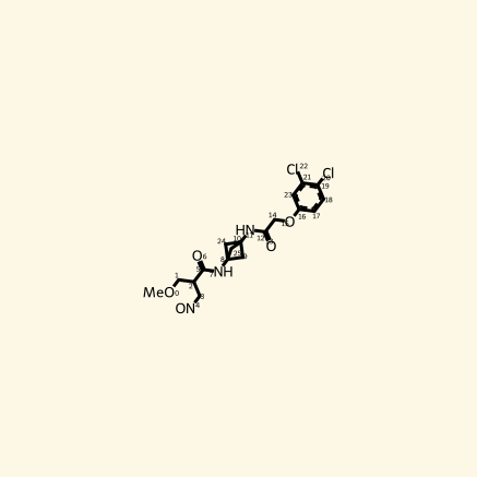 COCC(CN=O)C(=O)NC12CC(NC(=O)COc3ccc(Cl)c(Cl)c3)(C1)C2